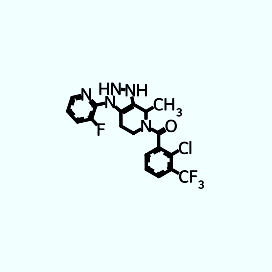 CC1C2=C(CCN1C(=O)c1cccc(C(F)(F)F)c1Cl)N(c1ncccc1F)NN2